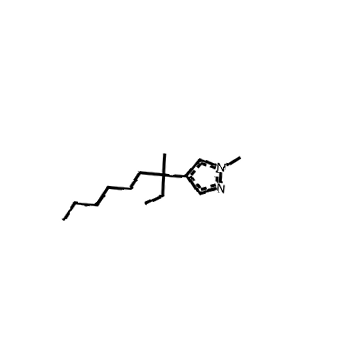 CCCCCCC(C)(CC)c1cnn(C)c1